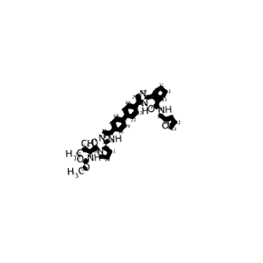 COC(=O)N[C@H](C(=O)N1CCC[C@H]1c1ncc(-c2ccc(-c3ccc(-c4cnc(C5C6CCC(C6)C5C(=O)NCc5ccco5)[nH]4)cc3)cc2)[nH]1)C(C)C